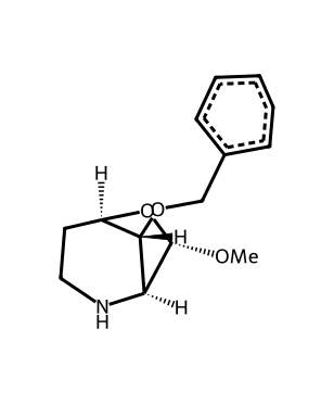 CO[C@H]1O[C@@H]2CCN[C@H]1[C@H]2OCc1ccccc1